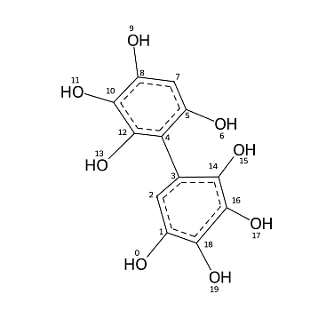 Oc1cc(-c2c(O)cc(O)c(O)c2O)c(O)c(O)c1O